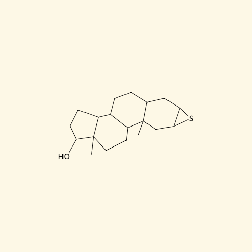 CC12CCC3C(CCC4CC5SC5CC43C)C1CCC2O